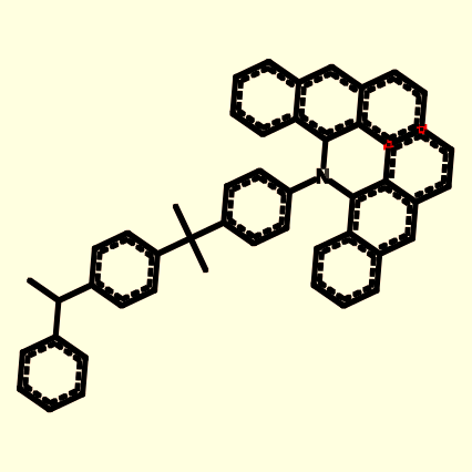 CC(c1ccccc1)c1ccc(C(C)(C)c2ccc(N(c3c4ccccc4cc4ccccc34)c3c4ccccc4cc4ccccc34)cc2)cc1